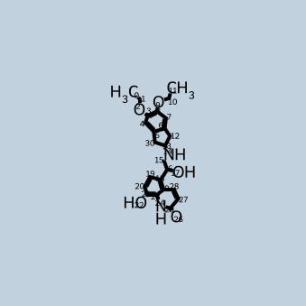 CCOc1cc2c(cc1OCC)CC(NCC(O)c1ccc(O)c3[nH]c(=O)ccc13)C2